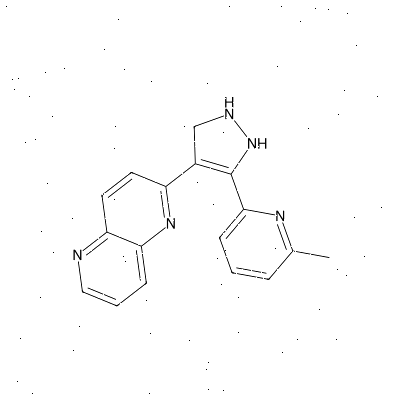 Cc1cccc(C2=C(c3ccc4ncccc4n3)CNN2)n1